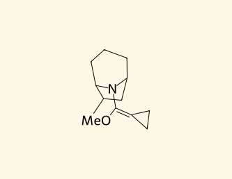 COC(=C1CC1)N1C2CCCC1C(C)C2